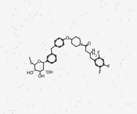 CS[C@H]1O[C@@H](c2cccc(Cc3ccc(OC4CCN(C(=O)C[C@@H](N)Cc5cc(F)c(F)cc5F)CC4)cc3)c2)[C@H](O)[C@@H](O)[C@@H]1O